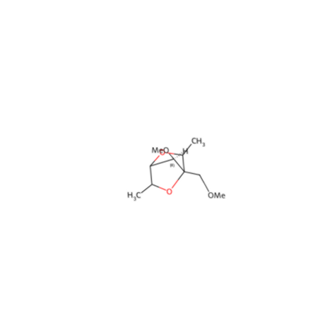 COCC12OC(C)C(OC1C)[C@H]2OC